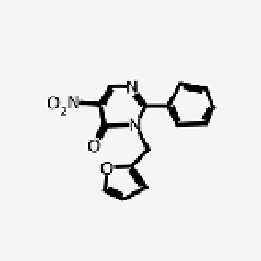 O=c1c([N+](=O)[O-])cnc(-c2ccccc2)n1Cc1ccco1